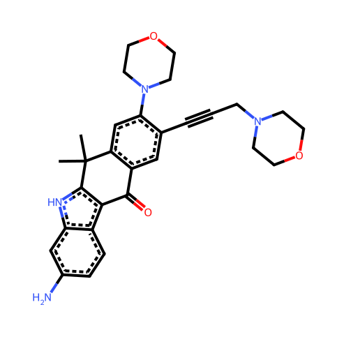 CC1(C)c2cc(N3CCOCC3)c(C#CCN3CCOCC3)cc2C(=O)c2c1[nH]c1cc(N)ccc21